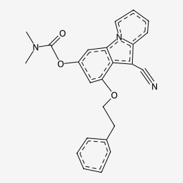 CN(C)C(=O)Oc1cc(OCCc2ccccc2)c2c(C#N)c3ccccn3c2c1